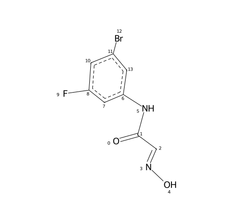 O=C(C=NO)Nc1cc(F)cc(Br)c1